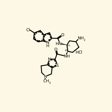 CN1CCc2nc(C(=O)N[C@@H]3CCC(N)C[C@@H]3NC(=O)c3cc4cc(Cl)ccc4[nH]3)sc2C1.Cl